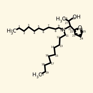 CCCCCCCCCCN(CCCCCCCCCC)C(c1ccco1)C(C)O